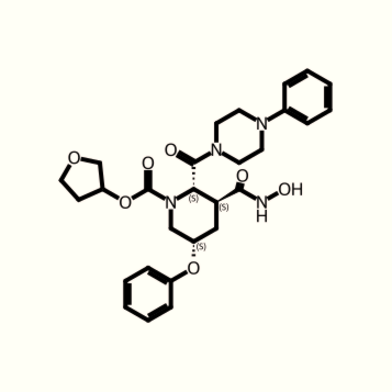 O=C(NO)[C@H]1C[C@H](Oc2ccccc2)CN(C(=O)OC2CCOC2)[C@@H]1C(=O)N1CCN(c2ccccc2)CC1